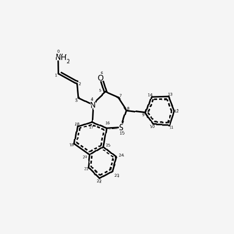 NC=CCN1C(=O)CC(c2ccccc2)Sc2c1ccc1ccccc21